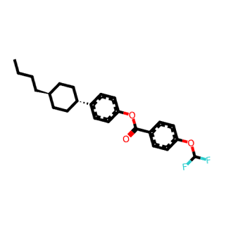 CCCC[C@H]1CC[C@H](c2ccc(OC(=O)c3ccc(OC(F)F)cc3)cc2)CC1